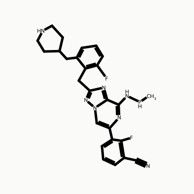 CPNc1nc(-c2cccc(C#N)c2F)cn2nc(Cc3c(F)cccc3CC3CCNCC3)nc12